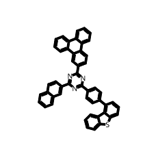 c1ccc2cc(-c3nc(-c4ccc(-c5cccc6sc7ccccc7c56)cc4)nc(-c4ccc5c6ccccc6c6ccccc6c5c4)n3)ccc2c1